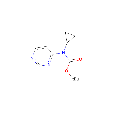 CC(C)(C)OC(=O)N(c1ccncn1)C1CC1